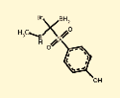 BC(Br)(BC)S(=O)(=O)c1ccc(O)cc1